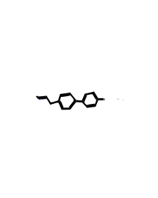 CCCCCCc1ccc(-c2ccc(C/C=C/F)cc2)cc1